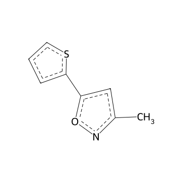 Cc1cc(-c2cccs2)on1